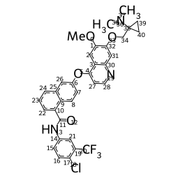 COc1cc2c(Oc3ccc4c(C(=O)Nc5ccc(Cl)c(C(F)(F)F)c5)cccc4c3)ccnc2cc1OCC1(N(C)C)CC1